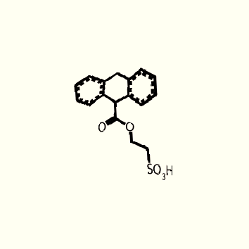 O=C(OCCS(=O)(=O)O)C1c2ccccc2Cc2ccccc21